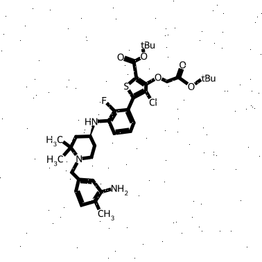 Cc1ccc(CN2CC[C@H](Nc3cccc(-c4sc(C(=O)OC(C)(C)C)c(OCC(=O)OC(C)(C)C)c4Cl)c3F)CC2(C)C)cc1N